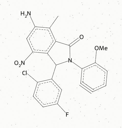 COc1ccc#cc1N1C(=O)c2c(C)c(N)cc([N+](=O)[O-])c2C1c1cc(F)ccc1Cl